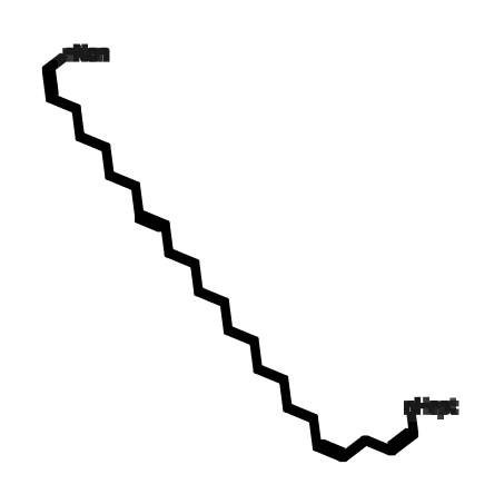 CCCCCCC/C=C\C/C=C\CCCCCCCCCCC=CCCCCC/C=C\CCCCCCCCC